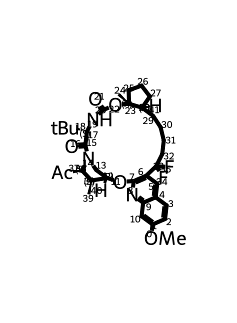 COc1ccc2cc3c(nc2c1)O[C@H]1CN(C(=O)[C@H](C(C)(C)C)NC(=O)O[C@]2(C)CCC[C@H]2CCCCC3(F)F)[C@H](C(C)=O)[C@@H]1C